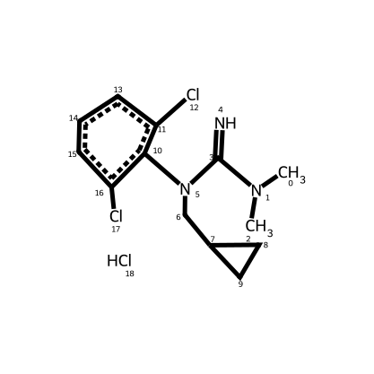 CN(C)C(=N)N(CC1CC1)c1c(Cl)cccc1Cl.Cl